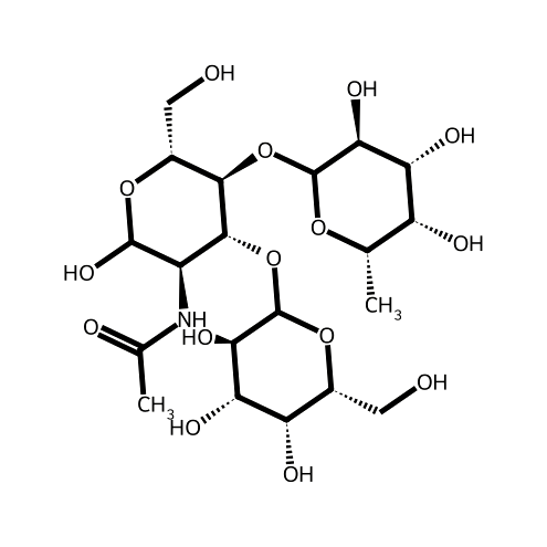 CC(=O)N[C@H]1C(O)O[C@H](CO)[C@@H](OC2O[C@@H](C)[C@@H](O)[C@@H](O)[C@@H]2O)[C@@H]1OC1O[C@H](CO)[C@H](O)[C@H](O)[C@H]1O